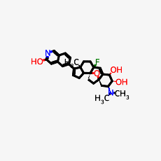 CN(C)[C@H]1C[C@@]23CC[C@]4(O2)C2CC=C(c5ccc6cnc(O)cc6c5)[C@@]2(C)CCC4(F)C=C3[C@@H](O)[C@@H]1O